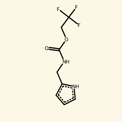 O=C(NCc1ccc[nH]1)OCC(F)(F)F